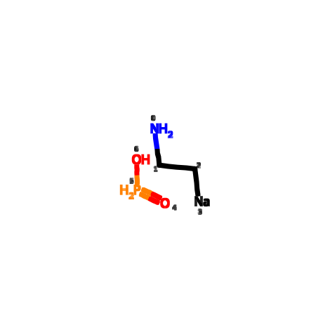 NC[CH2][Na].O=[PH2]O